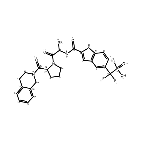 CC(C)(C)C(NC(=O)c1cc2cc(C(F)(F)P(=O)(O)O)ccc2s1)C(=O)N1CCC[C@H]1C(=O)N1CCc2ccccc2C1